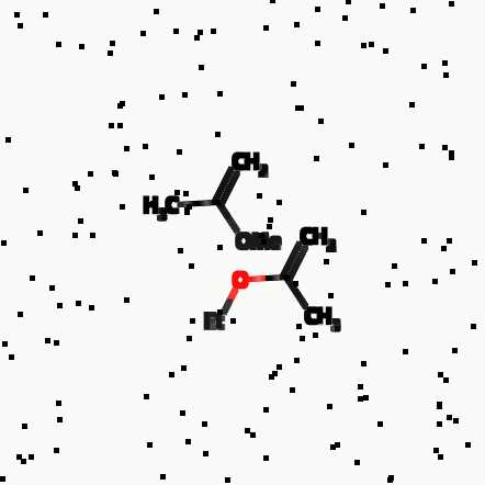 C=C(C)OC.C=C(C)OCC